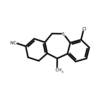 CC1C2=C(C=C(C#N)CC2)CSc2c(Cl)cccc21